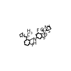 C[C@H](c1cccc(F)c1CNc1cc(F)c(S(=O)(=O)c2n[c]cs2)c(F)c1)N1CCC1